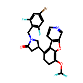 O=C1CC(C2=c3c(oc4cnccc34)=C(OC(F)F)CC2)CN1Cc1c(F)cc(Br)cc1F